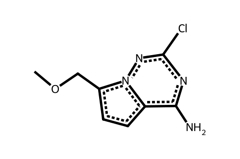 COCc1ccc2c(N)nc(Cl)nn12